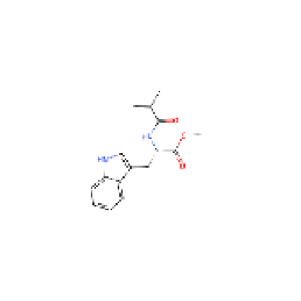 C=C(C)C(=O)N[C@@H](Cc1c[nH]c2ccccc12)C(=O)OC